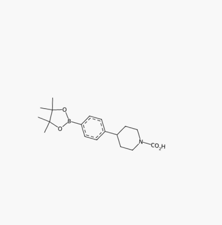 CC1(C)OB(c2ccc(C3CCN(C(=O)O)CC3)cc2)OC1(C)C